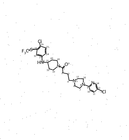 O=C(CCCN1CCN(c2ccc(Cl)cn2)CC1)N1CCC(Nc2ccc(Cl)c(SC(F)(F)F)c2)CC1